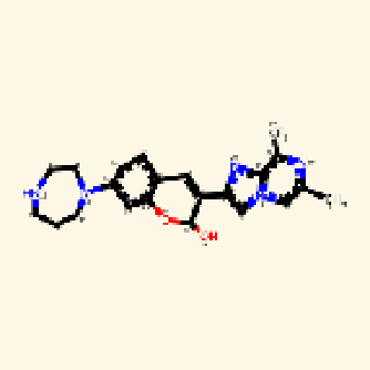 Cc1cn2cc(C3=Cc4ccc(N5CCCNCC5)cc4OC3O)nc2c(C(F)(F)F)n1